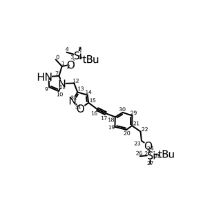 CC(O[Si](C)(C)C(C)(C)C)C1NC=CN1Cc1cc(C#Cc2ccc(CCO[Si](C)(C)C(C)(C)C)cc2)on1